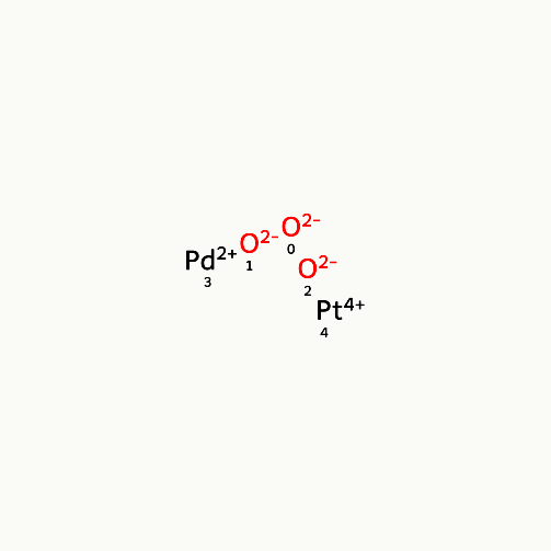 [O-2].[O-2].[O-2].[Pd+2].[Pt+4]